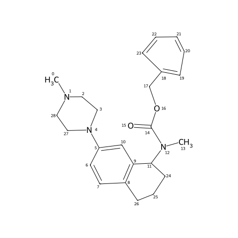 CN1CCN(c2ccc3c(c2)C(N(C)C(=O)OCc2ccccc2)CCC3)CC1